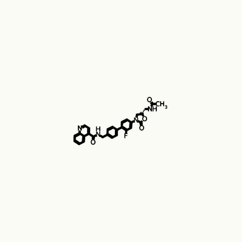 CC(=O)NC[C@H]1CN(c2ccc(-c3ccc(CNC(=O)c4ccnc5ccccc45)cc3)c(F)c2)C(=O)O1